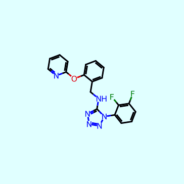 Fc1cccc(-n2nnnc2NCc2ccccc2Oc2ccccn2)c1F